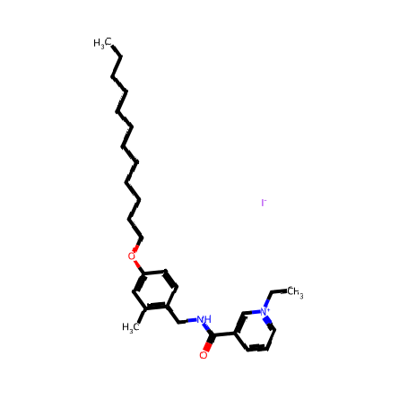 CCCCCCCCCCCCOc1ccc(CNC(=O)c2ccc[n+](CC)c2)c(C)c1.[I-]